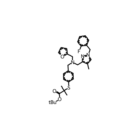 Cc1cn(Cc2ccccc2F)nc1CN(Cc1ccc(SC(C)(C)C(=O)OC(C)(C)C)cc1)Cc1ccco1